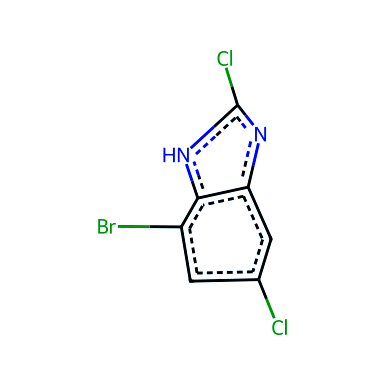 Clc1cc(Br)c2[nH]c(Cl)nc2c1